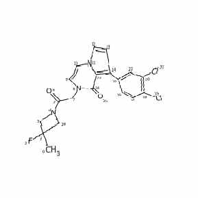 CC1(F)CN(C(=O)Cn2ccn3ccc(-c4ccc(Cl)c(Cl)c4)c3c2=O)C1